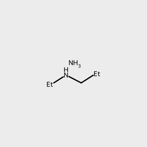 CCCNCC.N